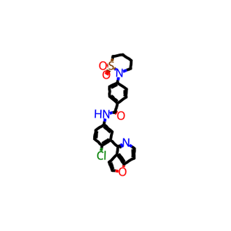 O=C(Nc1ccc(Cl)c(-c2nccc3occc23)c1)c1ccc(N2CCCCS2(=O)=O)cc1